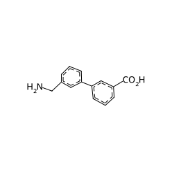 NCc1cccc(-c2cccc(C(=O)O)c2)c1